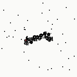 CCC(C)(C)[C@H](NC(=O)OC)C(=O)N1[C@@H](C)CC[C@H]1c1nc2ccc3cc4c(cc3c2[nH]1)OCc1cc(-c2cnc([C@@H]3C[C@H](C)CN3C(=O)[C@@H](NC(=O)OC)C(C)C)[nH]2)ccc1-4